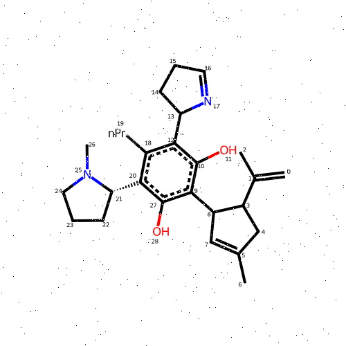 C=C(C)C1CC(C)=CC1c1c(O)c(C2CCC=N2)c(CCC)c([C@@H]2CCCN2C)c1O